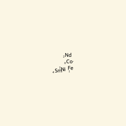 [Co].[Fe].[Nd].[Ni].[Sm]